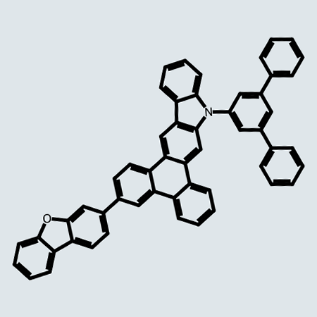 c1ccc(-c2cc(-c3ccccc3)cc(-n3c4ccccc4c4cc5c6ccc(-c7ccc8c(c7)oc7ccccc78)cc6c6ccccc6c5cc43)c2)cc1